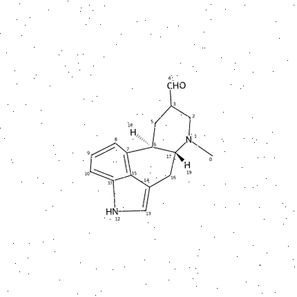 CN1CC(C=O)C[C@@H]2c3cccc4[nH]cc(c34)C[C@H]21